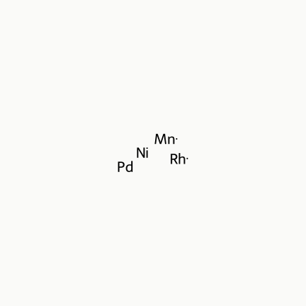 [Mn].[Ni].[Pd].[Rh]